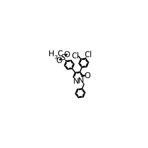 CS(=O)(=O)c1ccc(-c2cnn(Cc3ccccc3)c(=O)c2-c2ccc(Cl)c(Cl)c2)cc1